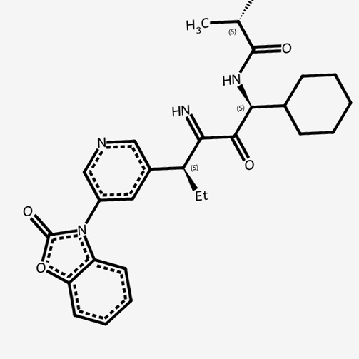 CC[C@H](C(=N)C(=O)[C@@H](NC(=O)[C@H](C)NC)C1CCCCC1)c1cncc(-n2c(=O)oc3ccccc32)c1